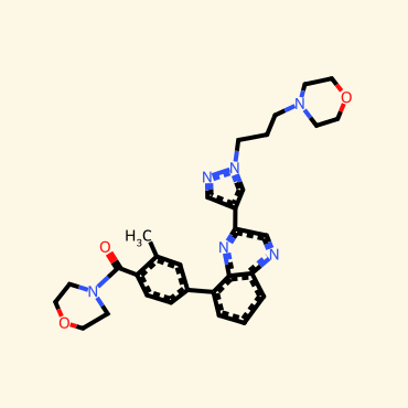 Cc1cc(-c2cccc3ncc(-c4cnn(CCCN5CCOCC5)c4)nc23)ccc1C(=O)N1CCOCC1